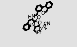 CC(C)CC(NC(=O)C(Cc1ccccc1)NC(=O)c1cccc2c1OCc1ccccc1-2)C(=O)N(C)N(C)C#N